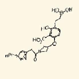 CCCn1cnc(CC(=O)N2CC(Oc3ccc(CCB(O)O)c(O)c3C(=O)O)C2)c1